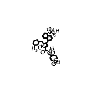 Cn1c(C(=O)NCC2(O)CCS(=O)(=O)CC2)cc(-c2ccc(S(=O)(=O)NC(C)(C)C)c3ccccc23)c1CC1CCCCC1